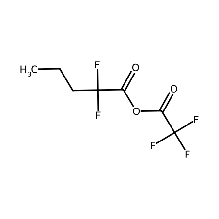 CCCC(F)(F)C(=O)OC(=O)C(F)(F)F